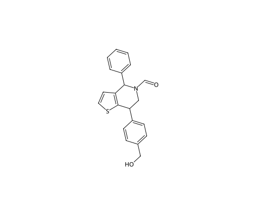 O=CN1CC(c2ccc(CO)cc2)c2sccc2C1c1ccccc1